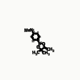 C=C1OB(c2ccc(NC)cc2)OC1(C)C